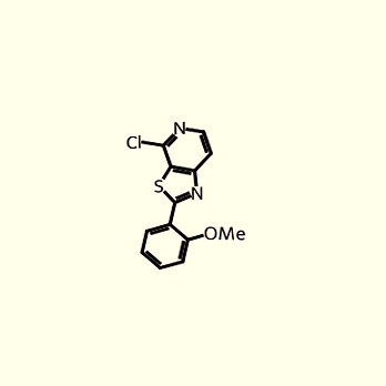 COc1ccccc1-c1nc2ccnc(Cl)c2s1